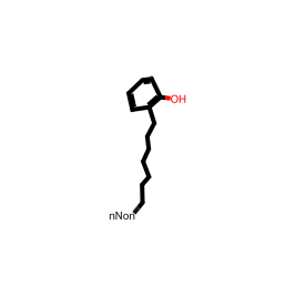 CCCCCCCCCCCCCCCCc1ccc[c]c1O